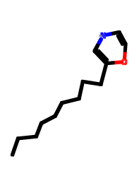 CCCCCCCCCC1=C[N]C=CO1